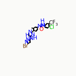 Cc1cc(NC(=O)Nc2ccc(Cl)c(C(F)(F)F)c2)ccc1-c1nccc(Nc2cc(Br)n[nH]2)n1